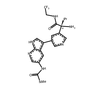 CNC(=O)Nc1cnc2[nH]cc(-c3cncc([C@@](N)(C(=O)NCC(F)(F)F)C(C)C)c3)c2c1